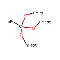 [CH2]CC[Si](OCCCCCCC)(OCCCCCCC)OCCCCCCC